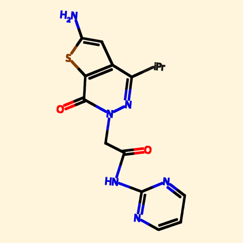 CC(C)c1nn(CC(=O)Nc2ncccn2)c(=O)c2sc(N)cc12